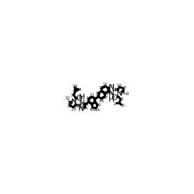 CC(C)CC(=O)N1[C@@H](C)CC[C@H]1c1nc2ccc3cc(-c4ccc(-c5cnc([C@@H]6CC[C@H](C)N6C(=O)CC6CC6)[nH]5)c5c4CCC5)ccc3c2[nH]1